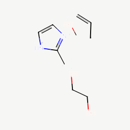 C=CC.Cc1ncc[nH]1.O=C(O)O.OCCO